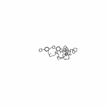 C=CC[C@@H](C)N(C[C@H]1CCCO1)S(=O)(=O)NC(=O)c1ccc2c(c1)N(C[C@@H]1CC[C@H]1[C@@H](O)C=C)CCCCc1cc(Cl)ccc1CO2